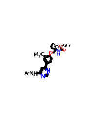 CC(=O)Nc1cc(-c2ccc(OCC(C)(CC(C)C)NC(=O)OC(C)(C)C)c(C)c2)ncn1